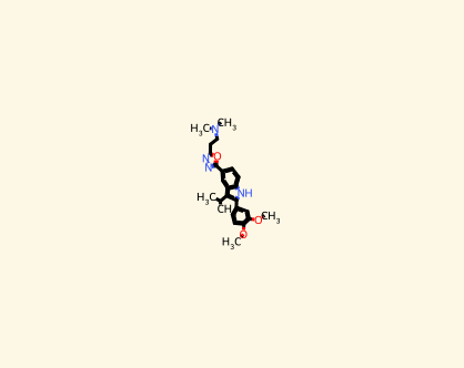 COc1ccc(-c2[nH]c3ccc(-c4nnc(CCN(C)C)o4)cc3c2C(C)C)cc1OC